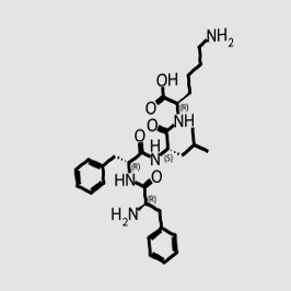 CC(C)C[C@H](NC(=O)[C@@H](Cc1ccccc1)NC(=O)[C@H](N)Cc1ccccc1)C(=O)N[C@H](CCCCN)C(=O)O